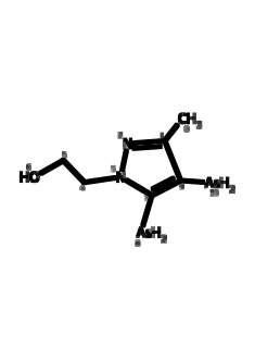 Cc1nn(CCO)c([AsH2])c1[AsH2]